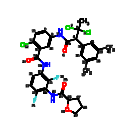 CC(Cl)(Cl)C(C(=O)Nc1ccc(Cl)c(C(=O)Nc2ccc(F)c(NC(=O)C3CCCO3)c2F)c1)c1cc(C(F)(F)F)cc(C(F)(F)F)c1